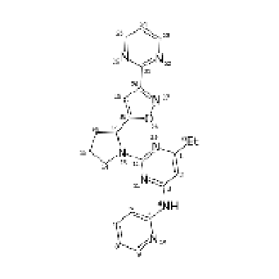 CCc1cc(Nc2ccccn2)nc(N2CCCC2c2cc(-c3ncccn3)no2)n1